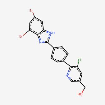 OCc1cnc(-c2ccc(-c3nc4c(Br)cc(Br)cc4[nH]3)cc2)c(Cl)c1